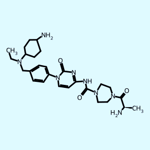 CCN(Cc1ccc(-n2ccc(NC(=O)N3CCN(C(=O)[C@@H](C)N)CC3)nc2=O)cc1)C1CCC(N)CC1